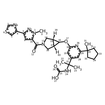 Cn1nc(-c2cscn2)cc1C(=O)N1C[C@@H]2C(Oc3cc(C(C)(C)NC(=O)O)cc(C4(C)CCCC4)n3)[C@@H]2C1